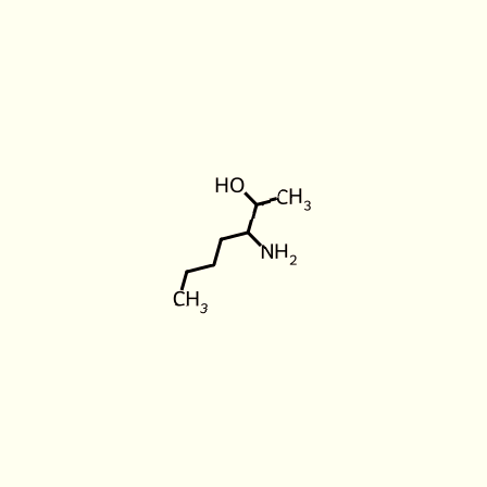 CCCCC(N)[C](C)O